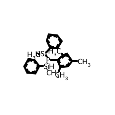 Cc1cc(C)c(P([SiH](C)c2ccccc2)[SiH](C)c2ccccc2)c(C)c1